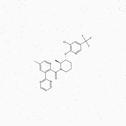 Cc1cnc(C(=O)N2CCC[C@@H](Oc3ncc(C(F)(F)F)cc3Cl)[C@@H]2C)c(-c2ncccn2)c1